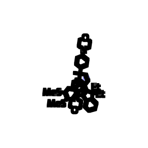 CCC1(CC)c2ccccc2-c2c1c(/C=C\C(C)(c1ccc(N3CCOCC3)cc1)c1ccc(N3CCOCC3)cc1)c(C)c1cc(SC)c(SC)cc21